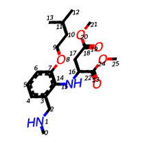 CNCc1cccc(OCCC(C)C)c1NC(CC(=O)OC)C(=O)OC